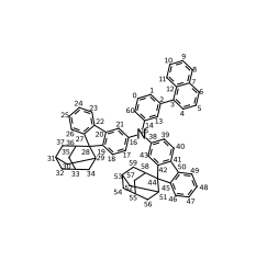 c1cc(-c2cccc3ccccc23)cc(N(c2ccc3c(c2)-c2ccccc2C32C3CC4CC(C3)CC2C4)c2ccc3c(c2)C2(c4ccccc4-3)C3CC4CC(C3)CC2C4)c1